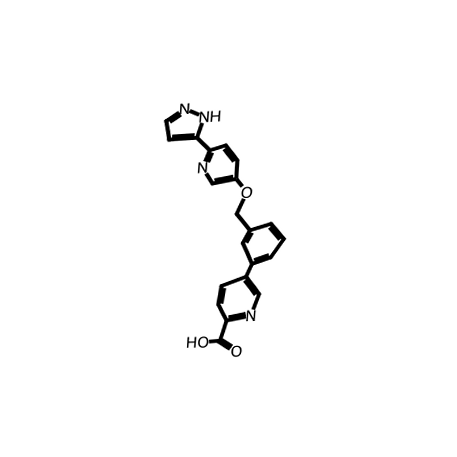 O=C(O)c1ccc(-c2cccc(COc3ccc(-c4ccn[nH]4)nc3)c2)cn1